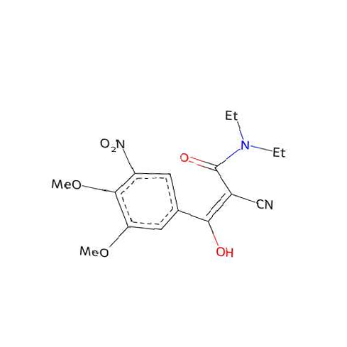 CCN(CC)C(=O)/C(C#N)=C(/O)c1cc(OC)c(OC)c([N+](=O)[O-])c1